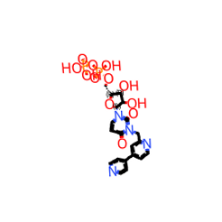 O=c1ccn([C@@H]2O[C@H](COP(=O)(O)OP(=O)(O)O)[C@H](O)C2O)c(=O)n1Cc1cc(-c2ccncc2)ccn1